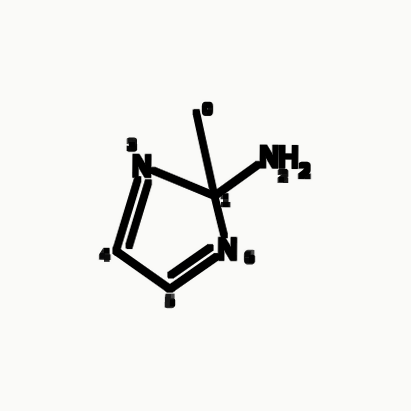 CC1(N)N=CC=N1